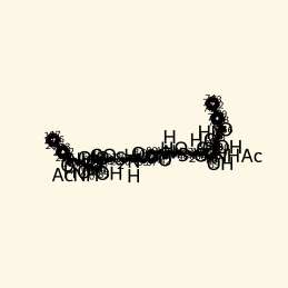 CC(=O)N[C@H]1[C@H]([C@H](O)[C@H](O)CNC(=O)c2ccc(-c3ccccc3)cc2)O[C@@](OCCCSCCNC(=O)Cc2ccc(CC(=O)NCCSCCCO[C@]3(C(=O)O)C[C@H](O)[C@@H](NC(C)=O)[C@H]([C@H](O)[C@H](O)CNC(=O)c4ccc(-c5ccccc5)cc4)O3)cc2)(C(=O)O)C[C@@H]1O